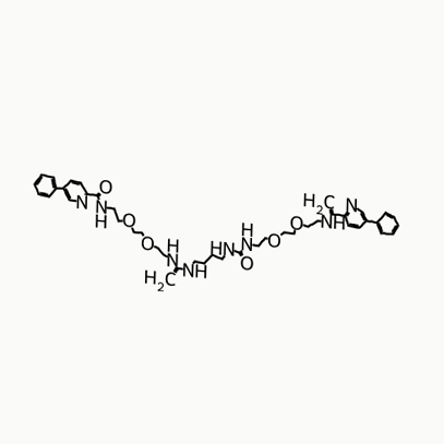 C=C(NCCCCNC(=O)NCCOCCOCCNC(=C)c1ccc(-c2ccccc2)cn1)NCCOCCOCCNC(=O)c1ccc(-c2ccccc2)cn1